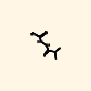 C=C(C)C(=O)NNC(=O)CCC